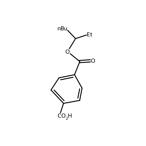 CCCCC(CC)OC(=O)c1ccc(C(=O)O)cc1